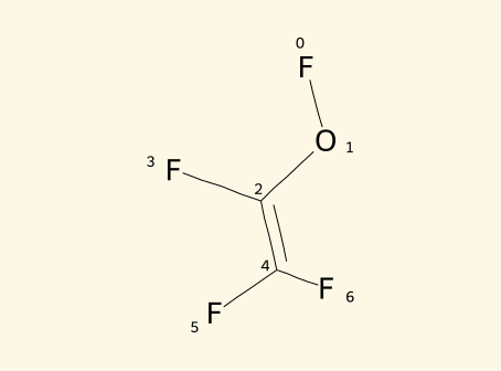 FOC(F)=C(F)F